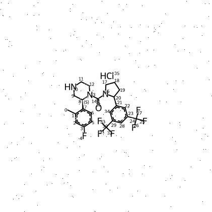 Cc1cc(F)ccc1[C@H]1CNCCN1C(=O)N1CCCC1c1cc(C(F)(F)F)cc(C(F)(F)F)c1.Cl